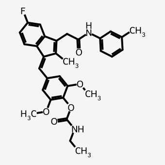 CCNC(=O)Oc1c(OC)cc(C=C2C(C)=C(CC(=O)Nc3cccc(C)c3)c3cc(F)ccc32)cc1OC